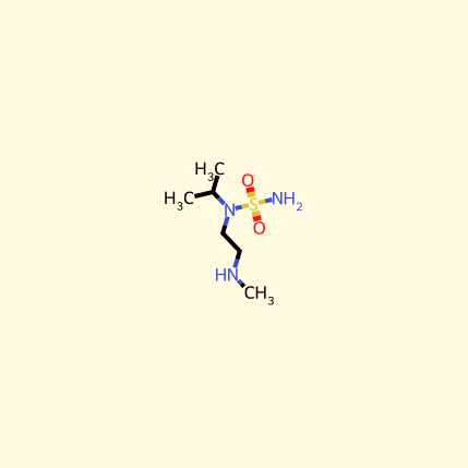 CNCCN(C(C)C)S(N)(=O)=O